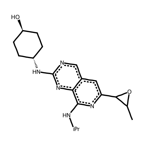 CC(C)Nc1nc(C2OC2C)cc2cnc(N[C@H]3CC[C@H](O)CC3)nc12